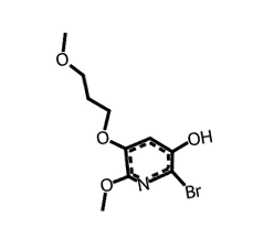 COCCCOc1cc(O)c(Br)nc1OC